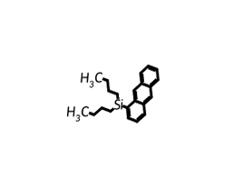 CCCC[Si](CCCC)c1cccc2cc3ccccc3cc12